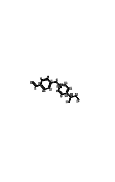 C=Cc1ccc(C[n+]2ccc(C(C)CC)cc2)cc1